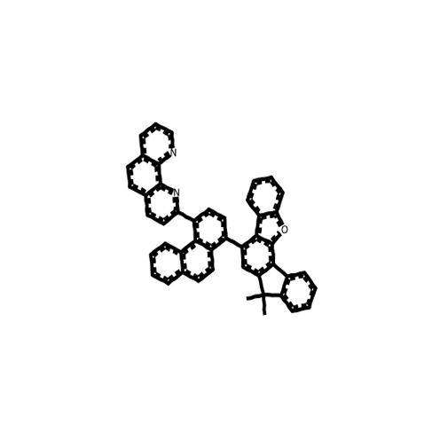 CC1(C)c2ccccc2-c2c1cc(-c1ccc(-c3ccc4ccc5cccnc5c4n3)c3c1ccc1ccccc13)c1c2oc2ccccc21